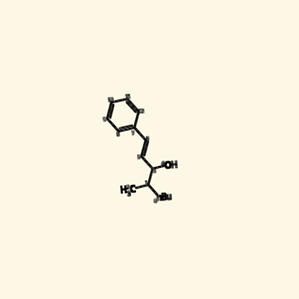 CCCCC(C)C(O)/C=C/c1ccccc1